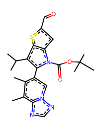 Cc1c(-c2c(C(C)C)c3sc(C=O)cc3n2C(=O)OC(C)(C)C)cn2ncnc2c1C